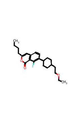 CCCCc1cc2ccc(C3CCC(CCOCC)CC3)c(F)c2c(=O)o1